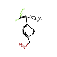 O=C(O)C(=C(F)F)c1ccc(CBr)cc1